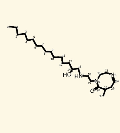 CCCCCCCCCCCCCCC(O)CNCCN1CCN=CCC(C)C1=O